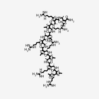 CC(=O)N[C@@H](CCCNC(=N)N)c1nc(C)sc1C(=O)N[C@@H](C)c1nc(CCCNC(=N)N)sc1C(=O)N[C@@H](C)c1nc(C)sc1C(=O)N[C@@H](CCCNC(=N)N)c1nc(C)sc1C(=O)N[C@@H](C)c1nc(CCCNC(=N)N)sc1C(=O)N[C@@H](C)c1nc(C)sc1C(O)N[C@@H](CCCNC(=N)N)c1nc(C)sc1C(=O)N[C@@H](C)c1nc(CCCNC(=N)N)sc1C(=O)N[C@@H](C)c1nc(C)sc1C(N)=O